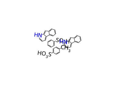 Cc1ccc(S(=O)(=O)O)cc1.O=S(=O)(O)c1ccccc1.c1c[nH]c2cc3ccccc3c-2c1.c1c[nH]c2cc3ccccc3c-2c1